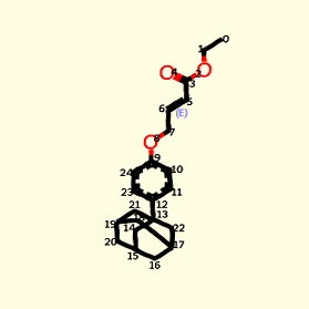 CCOC(=O)/C=C/COc1ccc(C23CC4CC(CC(C4)C2)C3)cc1